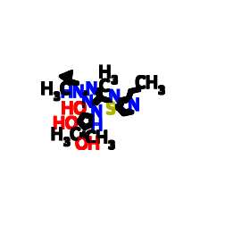 CCCc1nccc2sc(-c3c(C)nc(NCC4(C)CC4)nc3N[C@@H]3C[C@H](C(C)(C)O)[C@@H](O)[C@H]3O)nc12